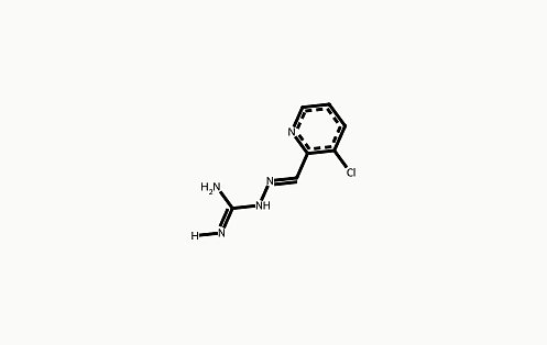 [H]/N=C(\N)NN=Cc1ncccc1Cl